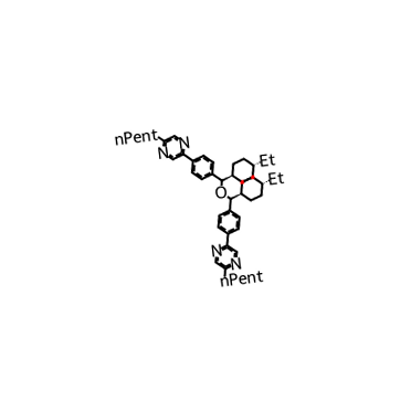 CCCCCc1cnc(-c2ccc(C(OC(c3ccc(-c4cnc(CCCCC)cn4)cc3)[C@H]3CC[C@H](CC)CC3)[C@H]3CC[C@H](CC)CC3)cc2)cn1